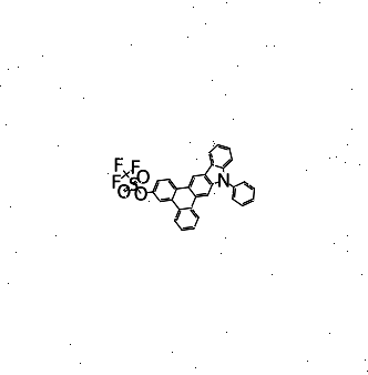 O=S(=O)(Oc1ccc2c(c1)c1ccccc1c1cc3c(cc21)c1ccccc1n3-c1ccccc1)C(F)(F)F